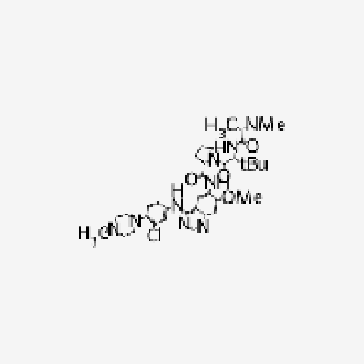 CN[C@@H](C)C(=O)N[C@H](C(=O)N1CCC[C@H]1C(=O)Nc1cc2c(Nc3ccc(N4CCN(C)CC4)c(Cl)c3)ncnc2cc1OC)C(C)(C)C